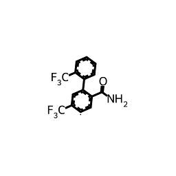 NC(=O)c1c[c]c(C(F)(F)F)cc1-c1ccccc1C(F)(F)F